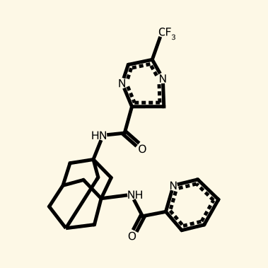 O=C(NC12CC3CC(C1)CC(NC(=O)c1cnc(C(F)(F)F)cn1)(C3)C2)c1ccccn1